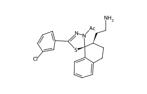 CC(=O)N1N=C(c2cccc(Cl)c2)S[C@@]12c1ccccc1CC[C@@H]2CCN